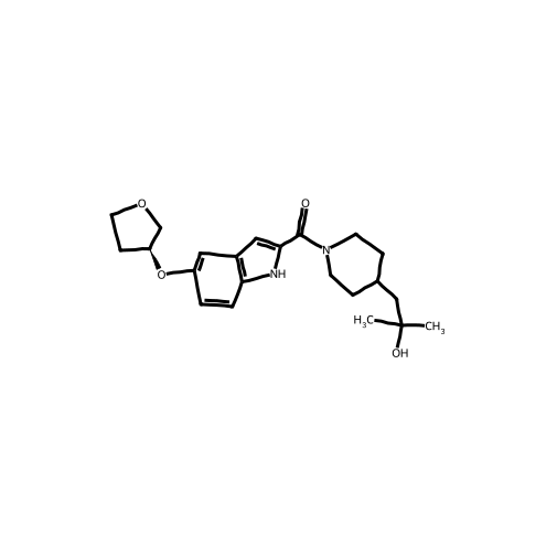 CC(C)(O)CC1CCN(C(=O)c2cc3cc(O[C@H]4CCOC4)ccc3[nH]2)CC1